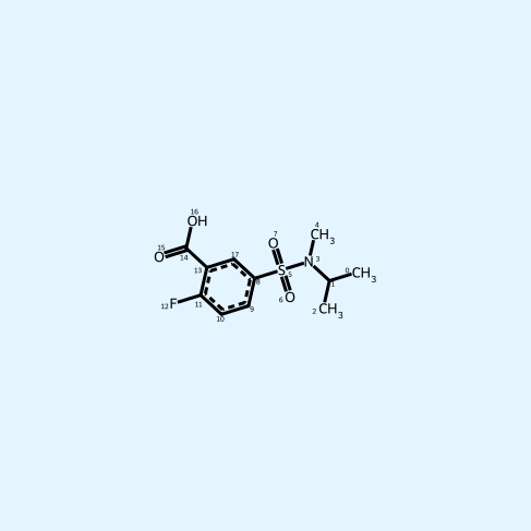 CC(C)N(C)S(=O)(=O)c1ccc(F)c(C(=O)O)c1